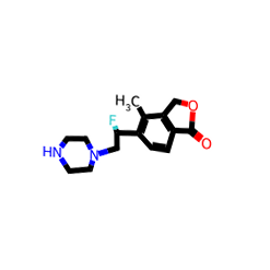 Cc1c(C(F)CN2CCNCC2)ccc2c1COC2=O